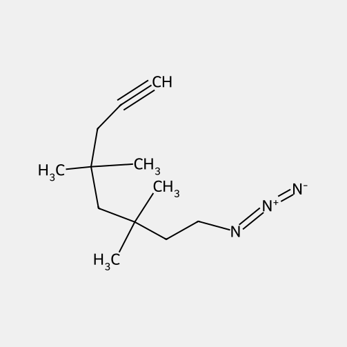 C#CCC(C)(C)CC(C)(C)CCN=[N+]=[N-]